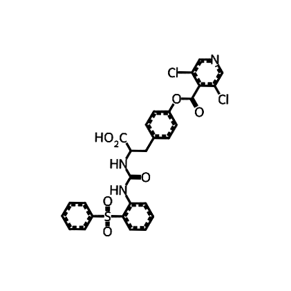 O=C(Nc1ccccc1S(=O)(=O)c1ccccc1)NC(Cc1ccc(OC(=O)c2c(Cl)cncc2Cl)cc1)C(=O)O